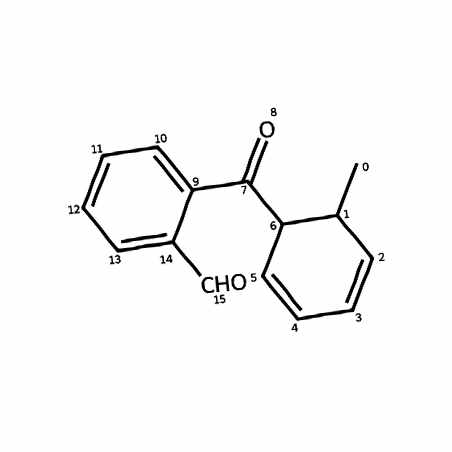 CC1C=CC=CC1C(=O)c1ccccc1C=O